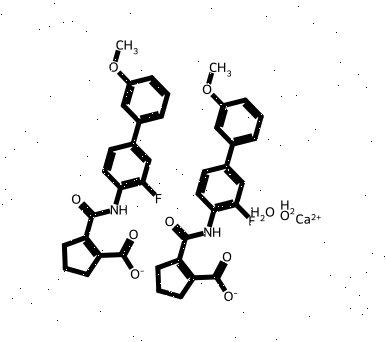 COc1cccc(-c2ccc(NC(=O)C3=C(C(=O)[O-])CCC3)c(F)c2)c1.COc1cccc(-c2ccc(NC(=O)C3=C(C(=O)[O-])CCC3)c(F)c2)c1.O.O.[Ca+2]